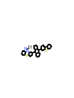 CCc1nc2cccc3c2n1-c1cc(-c2c4ccccc4c(-c4ccc5c(c4)sc4ccccc45)c4ccccc24)ccc1S3